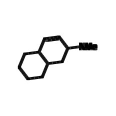 CNC1C=CC2CCCCC2C1